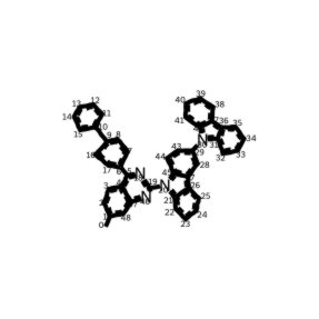 Cc1ccc2c(-c3ccc(-c4ccccc4)cc3)nc(-n3c4ccccc4c4cc(-n5c6ccccc6c6ccccc65)ccc43)nc2c1